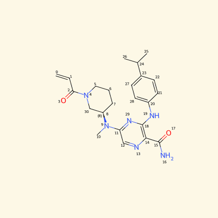 C=CC(=O)N1CCC[C@@H](N(C)c2cnc(C(N)=O)c(Nc3ccc(C(C)C)cc3)n2)C1